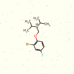 CC(C)[SiH](COc1ccc(F)cc1Br)C(C)C